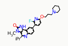 CC(C)c1nc2ccc(-c3ccc(OCCCN4CCCCC4)nc3F)cc2c2[nH]c(=O)n(C)c12